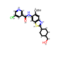 COc1cc2nc(C3CCC(CO)CC3)sc2cc1NC(=O)c1cncc(Cl)c1